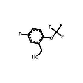 OCc1cc(F)ccc1OC(F)(F)F